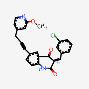 COc1cc(CC#Cc2ccc3c(c2)C(=O)/C(=C\c2cccc(Cl)c2)C(=O)N3)ccn1